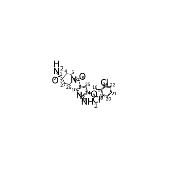 NC(=O)C1CCN(C(=O)c2cnc(N)c(OCc3c(Cl)cccc3Cl)c2)CC1